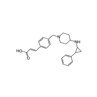 O=C(O)C=Cc1ccc(CN2CCC(NC3CC3c3ccccc3)CC2)cc1